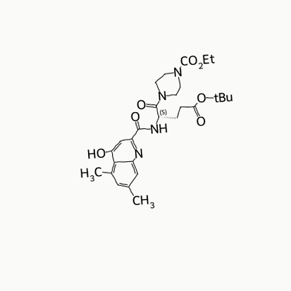 CCOC(=O)N1CCN(C(=O)[C@H](CCC(=O)OC(C)(C)C)NC(=O)c2cc(O)c3c(C)cc(C)cc3n2)CC1